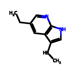 CBc1c[nH]c2ncc(CC)cc12